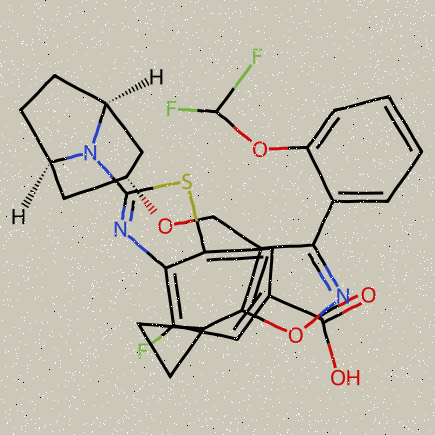 O=C(O)c1cc(F)c2nc(N3[C@@H]4CC[C@H]3C[C@H](OCc3c(-c5ccccc5OC(F)F)noc3C3CC3)C4)sc2c1